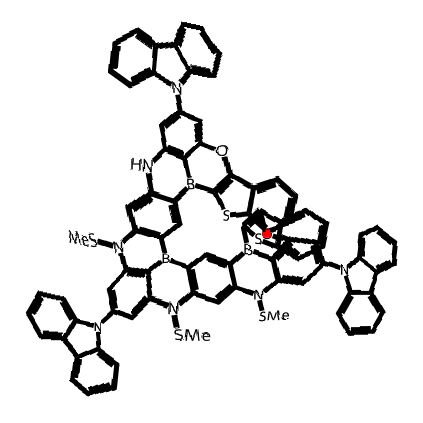 CSN1c2cc3c(cc2B2c4sc5ccccc5c4Oc4cc(-n5c6ccccc6c6ccccc65)cc1c42)B1c2cc4c(cc2N(SC)c2cc(-n5c6ccccc6c6ccccc65)cc(c21)N3SC)Nc1cc(-n2c3ccccc3c3ccccc32)cc2c1B4c1sc3ccccc3c1O2